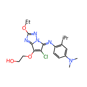 CCOc1nc2n(n1)/C(=N/c1ccc(N(C)C)cc1C(C)C)C(Cl)=C2OCCO